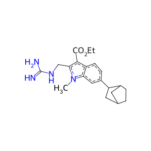 CCOC(=O)c1c(CNC(=N)N)n(C)c2cc(C3CC4CCC3C4)ccc12